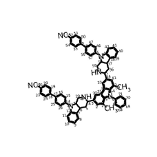 Cc1cc(C2CC3c4ccccc4N(c4ccc(-c5ccc(C#N)cc5)cc4)C3CN2)cc2c3cc(C4CC5c6ccccc6N(c6ccc(-c7ccc(C#N)cc7)cc6)C5CN4)cc(C)c3n(-c3ccccc3)c12